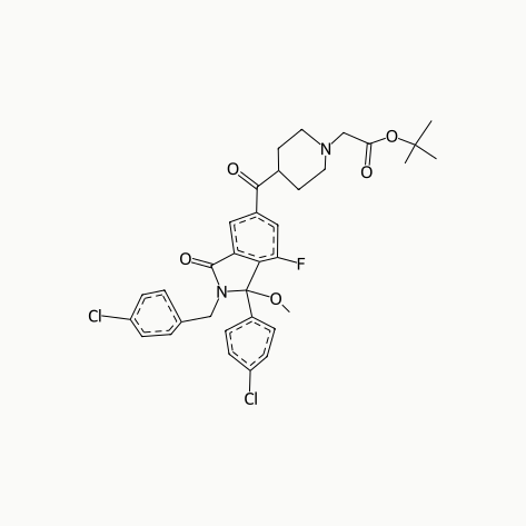 COC1(c2ccc(Cl)cc2)c2c(F)cc(C(=O)C3CCN(CC(=O)OC(C)(C)C)CC3)cc2C(=O)N1Cc1ccc(Cl)cc1